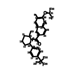 Cc1cc2cc(C(=O)N3C(C)CCCC3c3ccc(C(F)(F)F)cn3)ccc2nc1OC(F)F